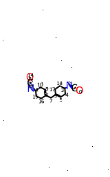 O=C=NC1CC=C(CC2=CCC(N=C=O)CC2)CC1